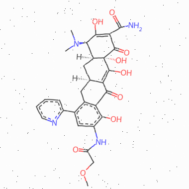 COCC(=O)Nc1cc(-c2ccccn2)c2c(c1O)C(=O)C1=C(O)[C@]3(O)C(=O)C(C(N)=O)=C(O)[C@H](N(C)C)[C@@H]3C[C@@H]1C2